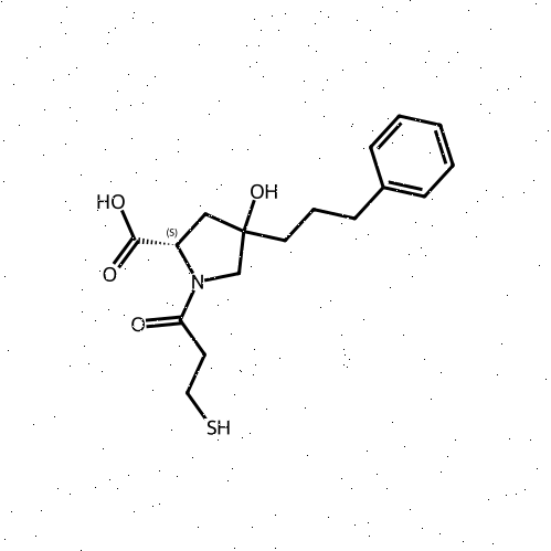 O=C(O)[C@@H]1CC(O)(CCCc2ccccc2)CN1C(=O)CCS